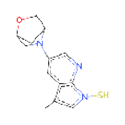 Cc1cn(S)c2ncc(N3CC4CC3CO4)cc12